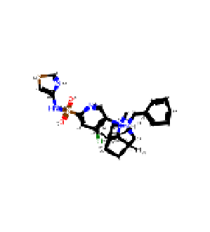 CN(c1cnc(S(=O)(=O)Nc2cscn2)cc1Cl)[C@H]1[C@@H]2CC[C@H]1CN(Cc1ccccc1)C2